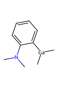 CN(C)c1cccc[c]1[Ga]([CH3])[CH3]